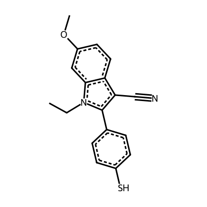 CCn1c(-c2ccc(S)cc2)c(C#N)c2ccc(OC)cc21